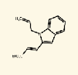 C=CCn1c(C=CC(=O)OCC)cc2ccccc21